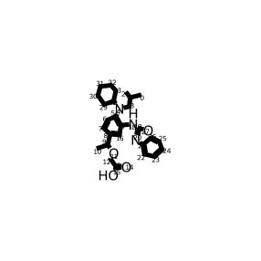 CC(C)CN(c1ccc(C(C)OCC(=O)O)cc1Nc1nc2ccccc2o1)C1CCCCC1